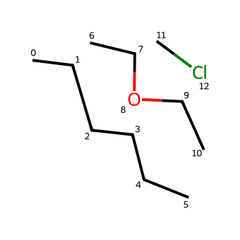 CCCCCC.CCOCC.CCl